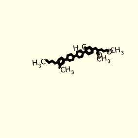 CCCCCc1ccc(C2CCC(C3CCC(c4ccc(CC(CCCOC)COC)cc4C)CC3)CC2)cc1CC